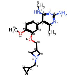 CNc1nc(N)nc(C)c1-c1ccc(OC)c(OCC2CN(CC3CC3)C2)c1